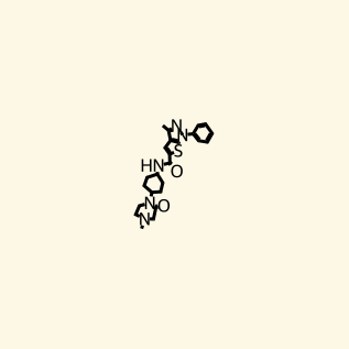 Cc1nn(-c2ccccc2)c2sc(C(=O)NC3CCC(N4CCN(C)CC4=O)CC3)cc12